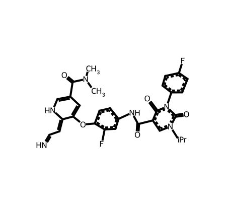 CC(C)n1cc(C(=O)Nc2ccc(OC3=CC(C(=O)N(C)C)=CN/C3=C\C=N)c(F)c2)c(=O)n(-c2ccc(F)cc2)c1=O